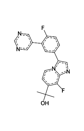 CC(C)(O)c1ccn2c(-c3ccc(F)c(-c4cncnc4)c3)cnc2c1F